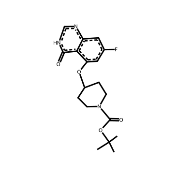 CC(C)(C)OC(=O)N1CCC(Oc2cc(F)cc3nc[nH]c(=O)c23)CC1